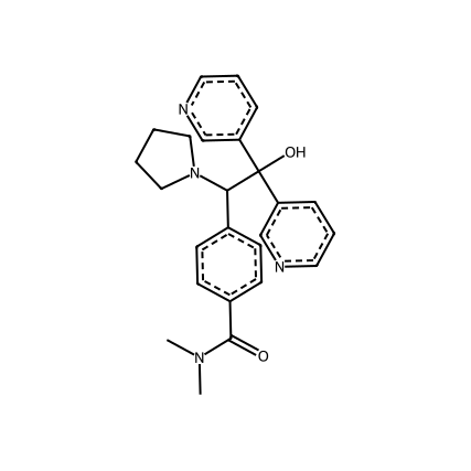 CN(C)C(=O)c1ccc(C(N2CCCC2)C(O)(c2cccnc2)c2cccnc2)cc1